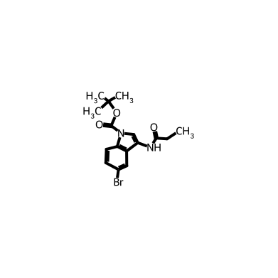 CCC(=O)Nc1cn(C(=O)OC(C)(C)C)c2ccc(Br)cc12